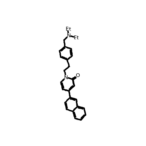 CCN(CC)Cc1ccc(CCn2ccc(-c3ccc4ccccc4c3)cc2=O)cc1